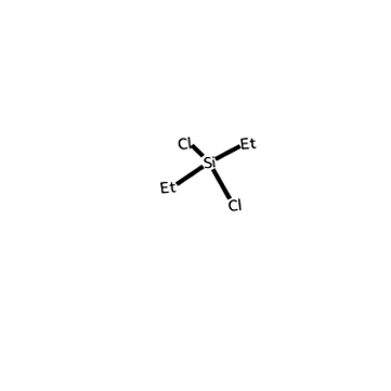 CC[Si](Cl)(Cl)CC